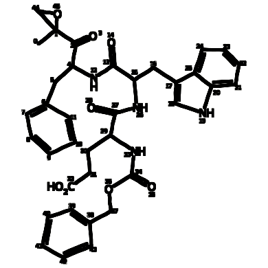 CC1(C(=O)C(Cc2ccccc2)NC(=O)C(Cc2c[nH]c3ccccc23)NC(=O)C(CCC(=O)O)NC(=O)OCc2ccccc2)CO1